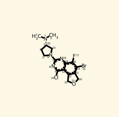 CN(C)[C@H]1CCN(c2nc(Cl)c3c4c(c(Br)c(F)c3n2)COC4)C1